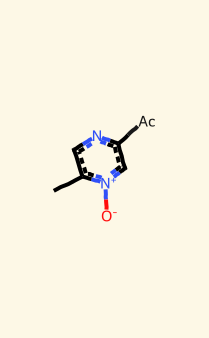 CC(=O)c1c[n+]([O-])c(C)cn1